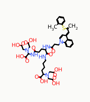 C=C(/C=C1\C=CN(CCC(=O)NC(CCC(=O)NC(C(=O)O)N(CC(=O)O)CC(=O)O)C(=O)NCCCCC(C(=O)O)N(CC(=O)O)CC(=O)O)c2ccccc21)Sc1ccccc1C